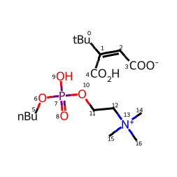 CC(C)(C)/C(=C/C(=O)[O-])C(=O)O.CCCCOP(=O)(O)OCC[N+](C)(C)C